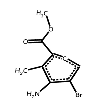 COC(=O)c1ccc(Br)c(N)c1C